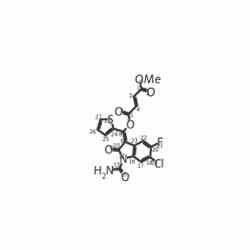 COC(=O)/C=C/C(=O)O/C(=C1/C(=O)N(C(N)=O)c2cc(Cl)c(F)cc21)c1cccs1